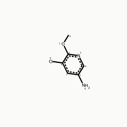 COc1ncc(N)cc1Cl